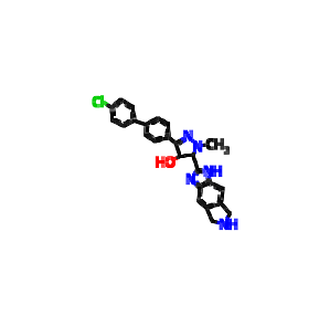 CN1N=C(c2ccc(-c3ccc(Cl)cc3)cc2)C(O)C1c1nc2cc3c(cc2[nH]1)CNC3